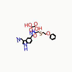 CN(C)Cc1c[nH]c2ccc(-c3nnc(CSCCOc4ccccc4)o3)cc12.O=C(O)C(=O)O